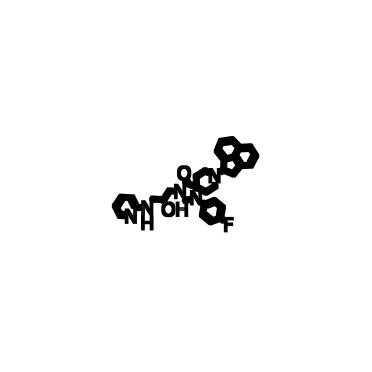 O=C1N(CC(O)CNc2ccccn2)CN(c2ccc(F)cc2)C12CCN(C1Cc3cccc4cccc1c34)CC2